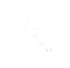 CS(=O)(=O)O.[N-]=[N+]=N